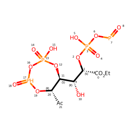 CCOC(=O)[C@@H](OP(=O)(O)OP=O)[C@H](O)[C@@H]1OP(=O)(O)O[PH](=O)O[C@H]1C(C)=O